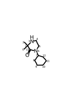 CC1(C)NCCN(C2CCCCC2)C1=O